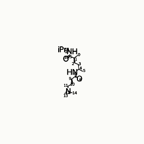 C/C(=C\CC(C)NC(=O)/C=C/CN(C)C)C(=O)NC(C)C